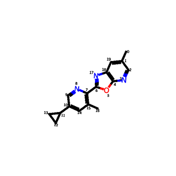 Cc1cnc2oc(-c3ncc(C4CC4)cc3C)nc2c1